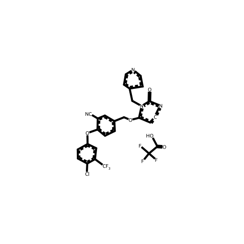 N#Cc1cc(COc2ccnc(=O)n2Cc2ccncc2)ccc1Oc1ccc(Cl)c(C(F)(F)F)c1.O=C(O)C(F)(F)F